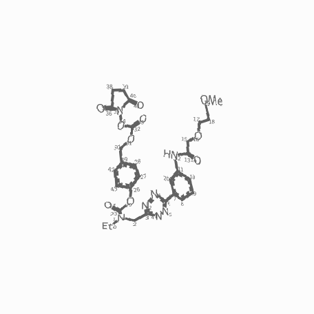 CCN(Cc1nnc(-c2cccc(NC(=O)COCCOC)c2)nn1)C(=O)Oc1ccc(COC(=O)ON2C(=O)CCC2=O)cc1